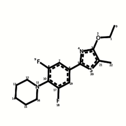 CCOc1nc(-c2cc(F)c(N3CC[CH]CC3)c(F)c2)sc1C